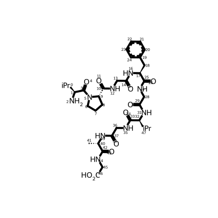 CC(C)[C@H](N)C(=O)N1CCC[C@H]1C(=O)NCC(=O)N[C@@H](Cc1ccccc1)C(=O)NCC(=O)N[C@H](C(=O)NCC(=O)N[C@@H](C)C(=O)NCC(=O)O)C(C)C